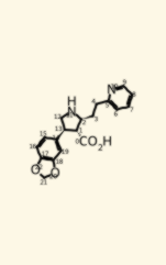 O=C(O)[C@H]1[C@H](CCc2ccccn2)NC[C@@H]1c1ccc2c(c1)OCO2